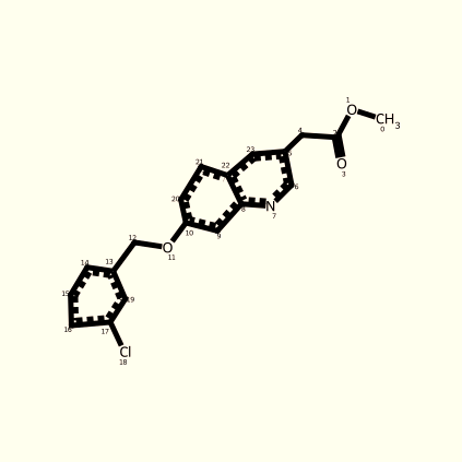 COC(=O)Cc1cnc2cc(OCc3cccc(Cl)c3)ccc2c1